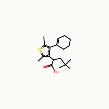 Cc1sc(C)c(C(CC(C)(C)C)C(=O)O)c1C1=CCCCC1